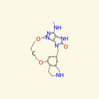 CNc1nc2nc3c1[nH]c(=O)n3Cc1cc3c(c(c1)OCCCCO2)CCNC3